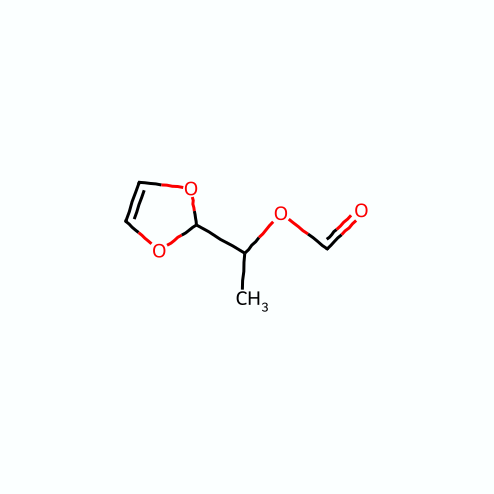 CC(OC=O)C1OC=CO1